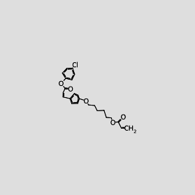 C=CC(=O)OCCCCCCOc1ccc(/C=C\C(=O)Oc2ccc(Cl)cc2)cc1